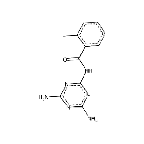 Cc1ccccc1C(=O)Nc1nc(N)nc(N)n1